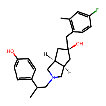 Cc1cc(F)ccc1C[C@]1(O)C[C@H]2CN(CC(C)c3ccc(O)cc3)C[C@H]2C1